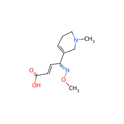 CON=C(C=CC(=O)O)C1=CCCN(C)C1